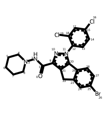 O=C(NN1CCCCC1)c1nn(-c2ccc(Cl)cc2Cl)c2c1Cc1cc(Br)ccc1-2